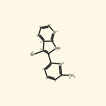 Cc1cccc(-c2[nH]c3ncccc3c2Br)n1